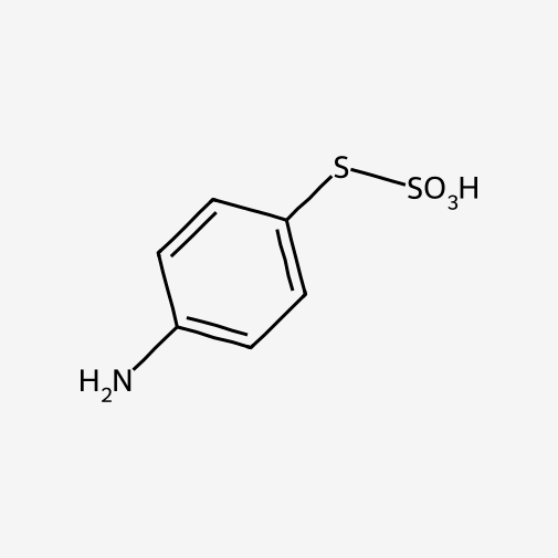 Nc1ccc(SS(=O)(=O)O)cc1